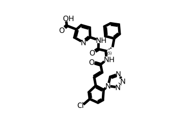 O=C(C=Cc1cc(Cl)ccc1-n1cnnn1)N[C@@H](Cc1ccccc1)C(=O)Nc1ccc(C(=O)O)cn1